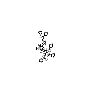 O=C(OCC1OC(n2cc(-c3cn(CCC(Sc4ccccc4)c4ccccc4)nn3)c(=O)[nH]c2=O)C(OC(=O)c2ccccc2)C1OC(=O)c1ccccc1)c1ccccc1